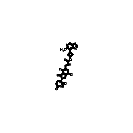 Cc1ncc2scnc2c1C1CC(OC(=O)NCc2cc(Cl)c3c(c2F)C(=O)N([C@@H]2CCC(=O)NC2=O)C3)C1